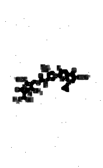 CC1C(COC(=O)NC2CCN(c3nc4c(cc3F)c(=O)c(C(=O)[O-])cn4C3CC3)C2)=C(C(=O)[O-])N2C(=O)[C@H]([C@H](C)O)[C@H]12.[Na+].[Na+]